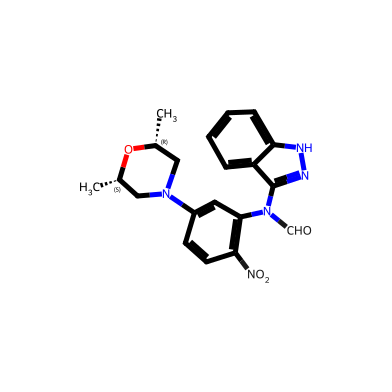 C[C@@H]1CN(c2ccc([N+](=O)[O-])c(N(C=O)c3n[nH]c4ccccc34)c2)C[C@H](C)O1